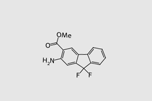 COC(=O)c1cc2c(cc1N)C(F)(F)c1ccccc1-2